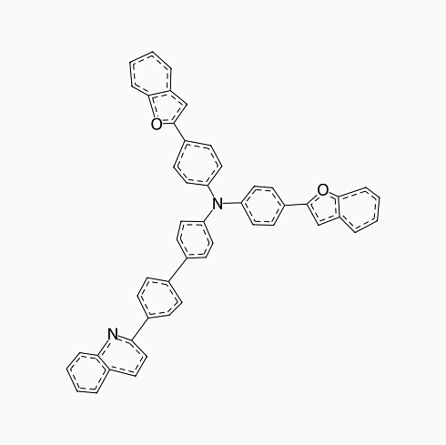 c1ccc2nc(-c3ccc(-c4ccc(N(c5ccc(-c6cc7ccccc7o6)cc5)c5ccc(-c6cc7ccccc7o6)cc5)cc4)cc3)ccc2c1